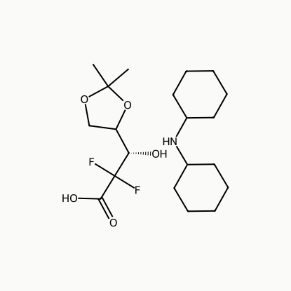 C1CCC(NC2CCCCC2)CC1.CC1(C)OCC([C@H](O)C(F)(F)C(=O)O)O1